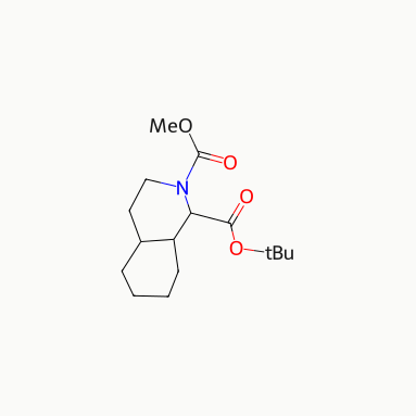 COC(=O)N1CCC2CCCCC2C1C(=O)OC(C)(C)C